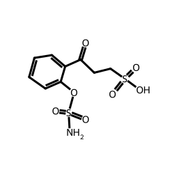 NS(=O)(=O)Oc1ccccc1C(=O)CCS(=O)(=O)O